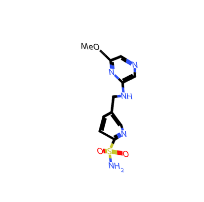 COc1cncc(NCc2ccc(S(N)(=O)=O)nc2)n1